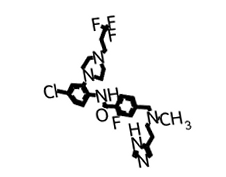 CN(CCc1cnc[nH]1)Cc1ccc(C(=O)Nc2ccc(Cl)cc2N2CCN(CCC(F)(F)F)CC2)c(F)c1